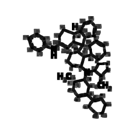 C=C1CCCC1N(C1=CCCC2C1C1CCC=CC1C21C2C=C(Nc3ccccc3)CCC2[C@H]2C=CC=CC21)C1CC(C2=CCCCC2)=CC[C@@H]1C